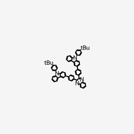 CC(C)(C)c1ccc(-n2c3ccccc3c3cc(-c4ccc(-c5nc6ccccc6nc5-c5ccc(-c6ccc7c(c6)c6ccccc6n7-c6ccc(C(C)(C)C)cc6)cc5)cc4)ccc32)cc1